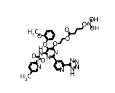 COc1ccccc1Oc1c(NS(=O)(=O)c2ccc(C)cn2)nc(-c2ccnc(-c3nnn[nH]3)c2)nc1OCCOC(=O)CCCON(O)O